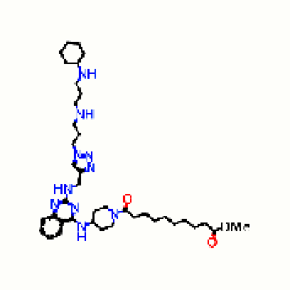 COC(=O)CCCCCCCCC(=O)N1CCC(Nc2nc(NCc3cn(CCCNCCCNC4CCCCC4)nn3)nc3ccccc23)CC1